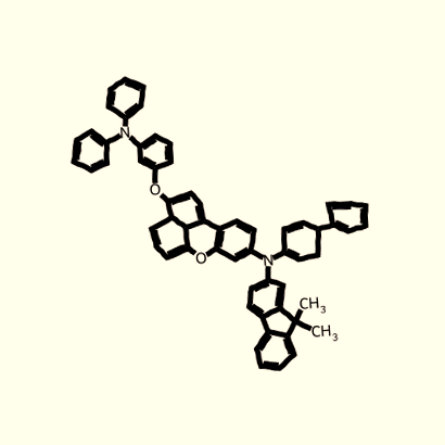 CC1(C)c2ccccc2-c2ccc(N(C3=CCC(c4ccccc4)C=C3)c3ccc4c(c3)OC3=CC=CC5C(Oc6cccc(N(c7ccccc7)c7ccccc7)c6)=CC=C4C35)cc21